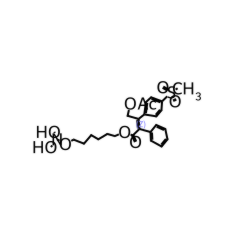 CC(=O)OC/C(=C(\C(=O)OCCCCCCON(O)O)c1ccccc1)c1ccc(S(C)(=O)=O)cc1